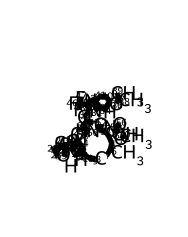 COC[C@@H]1C[C@H](C)CC/C=C\[C@@H]2C[C@@]2(C(=O)NS(=O)(=O)C2(C)CC2)NC(=O)[C@@H]2C[C@@H](Oc3nc4cc(OC(C)C)ccc4nc3C(F)(F)F)CN2C(=O)[C@H]1NC(=O)O